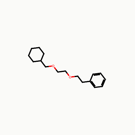 [c]1ccc(CCOCCOCC2CCCCC2)cc1